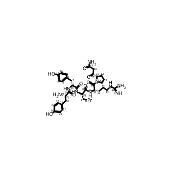 CC(C)C[C@H](NC(=O)[C@@H](Cc1ccc(O)cc1)NC(=O)[C@@H](N)Cc1ccc(O)cc1)C(=O)N[C@@H](CCCNC(=N)N)C(=O)N1CCC[C@H]1C(=O)CC(N)=O